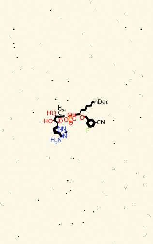 CCCCCCCCCCCCCCC[C@H](COP(=O)(O)OC[C@@]1(C)O[C@@H](c2ccc3c(N)ncnn23)[C@H](O)[C@@H]1O)OCc1cc(F)cc(C#N)c1